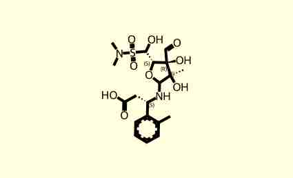 Cc1ccccc1[C@H](CC(=O)O)NC1O[C@H](C(O)S(=O)(=O)N(C)C)[C@](O)(C=O)[C@@]1(C)O